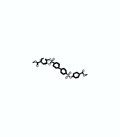 C=C(/C=C\C(=C/C)C(=O)OC)OS(=O)(=O)c1ccc(-c2ccc(S(=O)(=O)Oc3ccc(C(=O)OC)cc3)cc2)cc1